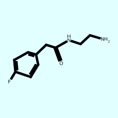 NCCNC(=O)Cc1ccc(F)cc1